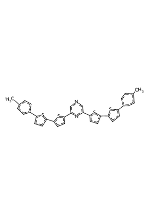 Cc1ccc(-c2ccc(-c3ccc(-c4cncc(-c5ccc(-c6ccc(-c7ccc(C)cc7)s6)s5)n4)s3)s2)cc1